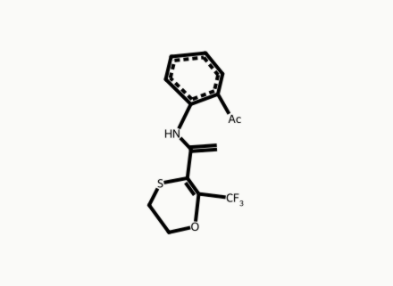 C=C(Nc1ccccc1C(C)=O)C1=C(C(F)(F)F)OCCS1